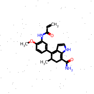 C=CC(=O)Nc1cc(C2=c3cc[nH]c3=C(C(N)=O)CC2C)ccc1OC